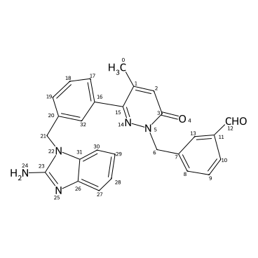 Cc1cc(=O)n(Cc2cccc(C=O)c2)nc1-c1cccc(Cn2c(N)nc3ccccc32)c1